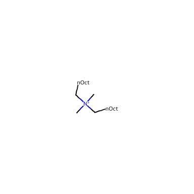 CCCCCCCCC[N+](C)(C)CCCCCCCCC